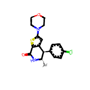 CC(=O)[C@@H]1NC(=O)c2sc(N3CCOCC3)cc2[C@H]1c1ccc(Cl)cc1